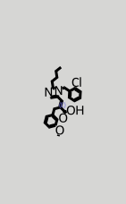 CCCCc1ncc(/C=C(\Cc2cccc(OC)c2)C(=O)O)n1Cc1ccccc1Cl